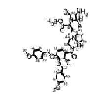 BOC(=O)C1=C(C[N@+]23CCC[C@H]2CN(C(=O)c2ccc(OCc4ccc(OC)cc4)c(OCc4ccc(OC)cc4)c2Cl)CC3)CS[C@@H]2[C@H](N)C(=O)N12